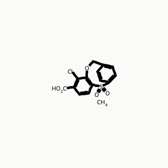 C.O=C(O)c1ccc2c(c1Cl)OCc1ccc(cc1)S2(=O)=O